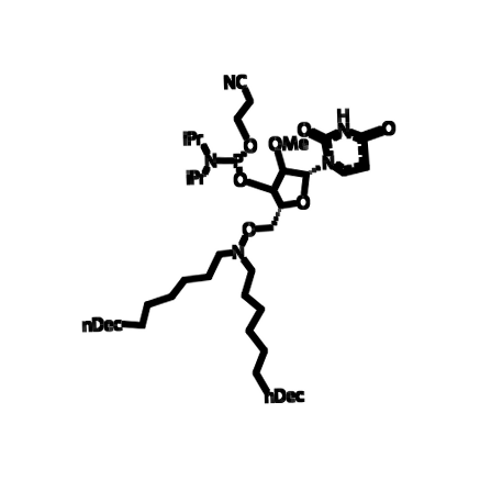 CCCCCCCCCCCCCCCCN(CCCCCCCCCCCCCCCC)OC[C@H]1O[C@@H](n2ccc(=O)[nH]c2=O)C(OC)C1OP(OCCC#N)N(C(C)C)C(C)C